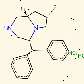 Cl.Cl.F[C@H]1C[C@H]2CNC[C@@H](C(c3ccccc3)c3ccccc3)N2C1